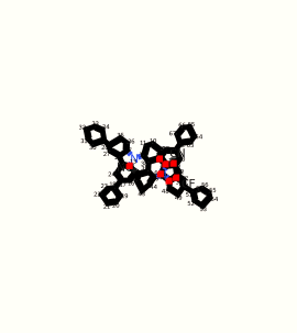 N#Cc1cc(C(F)(F)F)ccc1-c1cccc(-n2c3ccc(-c4ccccc4)cc3c3cc(-c4ccccc4)ccc32)c1-c1c(C#N)cccc1-n1c2ccc(-c3ccccc3)cc2c2cc(-c3ccccc3)ccc21